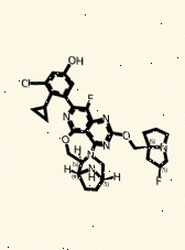 Oc1cc(Cl)c(C2CC2)c(-c2nc3c4c(nc(OC[C@@]56CCCN5C[C@@H](F)C6)nc4c2F)N2C[C@@H]4CC[C@@H](N4)[C@H]2CO3)c1